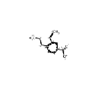 C=[C]c1cc([N+](=O)[O-])ccc1CCC